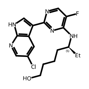 CC[C@@H](CCCCO)Nc1nc(-c2c[nH]c3ncc(Cl)cc23)ncc1F